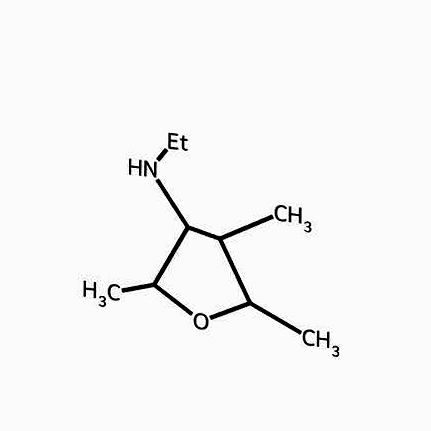 CCNC1C(C)OC(C)C1C